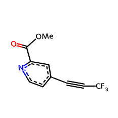 COC(=O)c1cc(C#CC(F)(F)F)ccn1